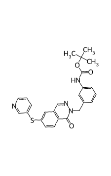 CC(C)(C)OC(=O)Nc1cccc(Cn2ncc3cc(Sc4cccnc4)ccc3c2=O)c1